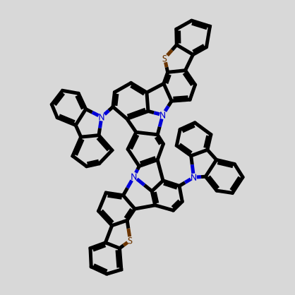 c1ccc2c(c1)sc1c2ccc2c1c1ccc(-n3c4ccccc4c4ccccc43)c3c4cc5c(cc4n2c13)c1c(-n2c3ccccc3c3ccccc32)ccc2c3c4sc6ccccc6c4ccc3n5c21